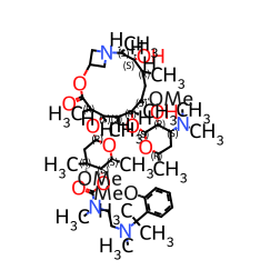 COc1ccccc1C(C)(C)N(C)CCN(C)C(=O)O[C@H]1[C@H](C)O[C@@H](O[C@H]2[C@H](C)[C@@H](O[C@@H]3O[C@H](C)C[C@H](N(C)C)[C@H]3O)[C@@](C)(OC)C[C@@H](C)[C@H](O)[C@H](C)N3CC(C3)OC(=O)[C@@H]2C)C[C@@]1(C)OC